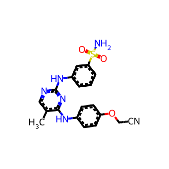 Cc1cnc(Nc2cccc(S(N)(=O)=O)c2)nc1Nc1ccc(OCC#N)cc1